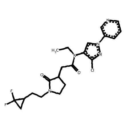 CCN(C(=O)CC1CCN(CCC2CC2(F)F)C1=O)c1cn(-c2cccnc2)nc1Cl